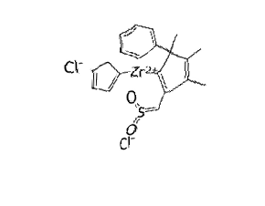 CC1=C(C)C(C)(c2ccccc2)[C]([Zr+2][C]2=CC=CC2)=C1C=S(=O)=O.[Cl-].[Cl-]